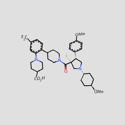 COc1ccc([C@@H]2CN([C@H]3CC[C@H](OC)CC3)C[C@@]2(F)C(=O)N2CCC(c3ccc(C(F)(F)F)cc3N3CCC(C(=O)O)CC3)CC2)cc1